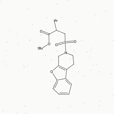 CC(C)C(CS(=O)(=O)N1CCc2c(oc3ccccc23)C1)C(=O)OC(C)(C)C